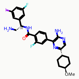 CO[C@H]1CC[C@H](c2cnc(N)c(-c3ccc(C(=O)N[C@H](CN)c4cc(F)cc(I)c4)c(F)c3)n2)CC1